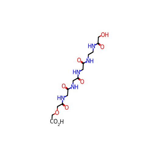 O=C(O)COCC(=O)NCC(=O)NCC(=O)NCC(=O)NCCNC(=O)CO